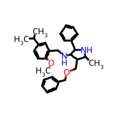 COc1ccc(C(C)C)cc1CNC1C(c2ccccc2)NC(C)C1COCc1ccccc1